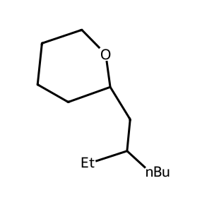 CCCCC(CC)CC1CCCCO1